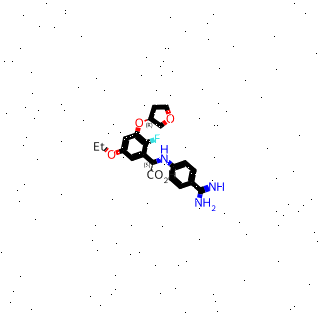 CCOc1cc(O[C@@H]2CCOC2)c(F)c([C@H](Nc2ccc(C(=N)N)cc2)C(=O)O)c1